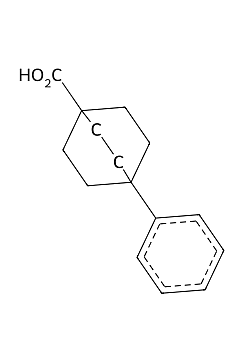 O=C(O)C12CCC(c3ccccc3)(CC1)CC2